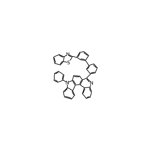 c1ccc(-n2c3ccccc3c3c4c(ccc32)c(-c2cccc(-c3cccc(-c5nc6ccccc6s5)c3)c2)nc2ccccc24)cc1